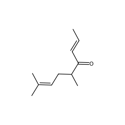 CC=CC(=O)C(C)CC=C(C)C